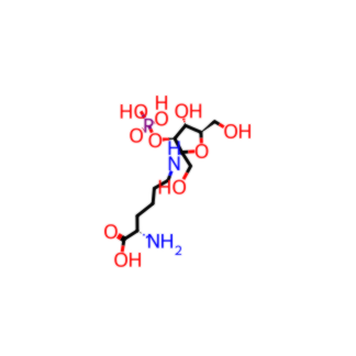 N[C@@H](CCCCNC1(CO)O[C@H](CO)[C@@H](O)[C@@H]1OP(=O)(O)O)C(=O)O